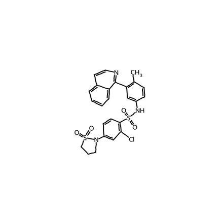 Cc1ccc(NS(=O)(=O)c2ccc(N3CCCS3(=O)=O)cc2Cl)cc1-c1nccc2ccccc12